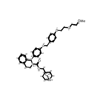 COCCOCCOc1ccc(COc2ccc([C@@H]3c4ccccc4CCN3C(=O)OCC34CCN(CC3)CC4)cc2)cc1